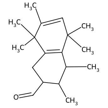 CC1=CC(C)(C)C2=C(CC(C=O)C(C)C2C)C1(C)C